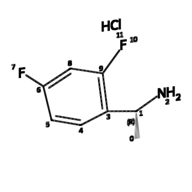 C[C@@H](N)c1ccc(F)cc1F.Cl